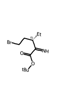 CC[C@@H](CCBr)C(=N)C(=O)OC(C)(C)C